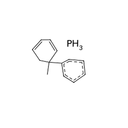 CC1(c2ccccc2)C=CC=CC1.P